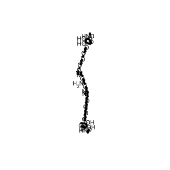 CC(=O)N[C@H]1[C@H]2OC[C@](COCCOCCOCCOCCn3cc(COCC(N)COCc4cn(CCOCCOCCOCCOC[C@@]56CO[C@@H](O5)[C@H](NC(C)=O)[C@@H](O)[C@H]6O)nn4)nn3)(O2)[C@H](O)[C@@H]1O